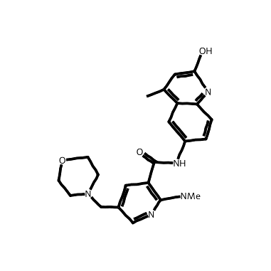 CNc1ncc(CN2CCOCC2)cc1C(=O)Nc1ccc2nc(O)cc(C)c2c1